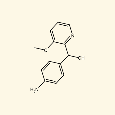 COc1cccnc1C(O)c1ccc(N)cc1